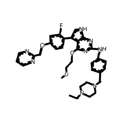 CCN1CCN(Cc2ccc(Nc3nc(OCCOC)c4c(-c5ccc(OCc6ncccn6)cc5F)c[nH]c4n3)cc2)CC1